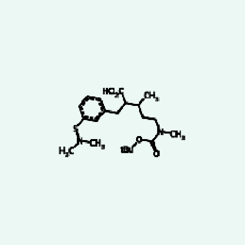 CC(CCN(C)C(=O)OC(C)(C)C)C(Cc1cccc(SN(C)C)c1)C(=O)O